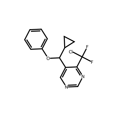 FC(F)(Cl)c1ncncc1C(Oc1ccccc1)C1CC1